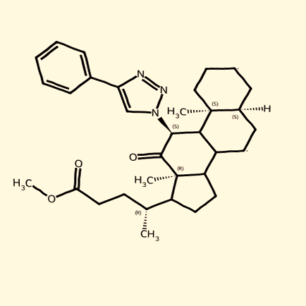 COC(=O)CC[C@@H](C)C1CCC2C3[CH]C[C@@H]4C[CH]CC[C@]4(C)C3[C@H](n3cc(-c4ccccc4)nn3)C(=O)[C@@]21C